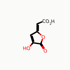 O=C(O)C=C1C=C(O)C(=O)O1